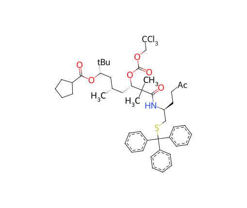 CC(=O)CC[C@@H](CSC(c1ccccc1)(c1ccccc1)c1ccccc1)NC(=O)C(C)(C)[C@H](C[C@H](C)C[C@H](OC(=O)C1CCCC1)C(C)(C)C)OC(=O)OCC(Cl)(Cl)Cl